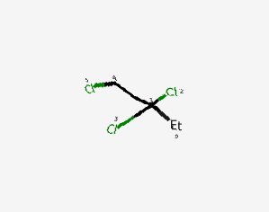 CCC(Cl)(Cl)CCl